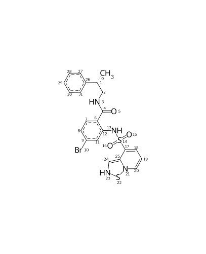 C[C@H](CNC(=O)c1ccc(Br)cc1NS(=O)(=O)C1=CC=CN2SNC=C12)c1ccccc1